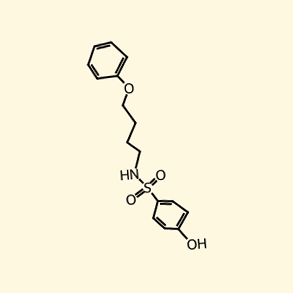 O=S(=O)(NCCCCOc1ccccc1)c1ccc(O)cc1